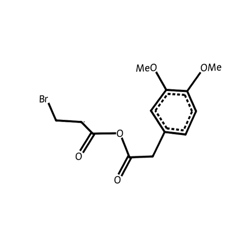 COc1ccc(CC(=O)OC(=O)[CH]CBr)cc1OC